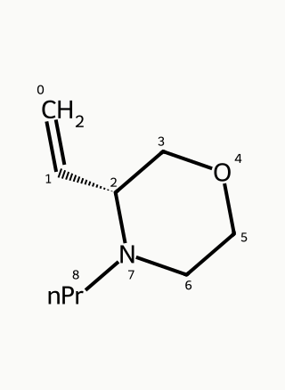 C=C[C@@H]1COCCN1CCC